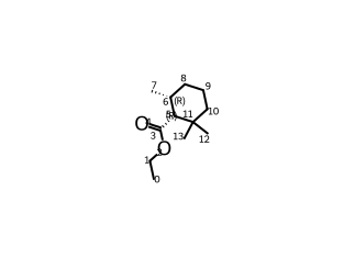 CCOC(=O)[C@@H]1[C@H](C)CCCC1(C)C